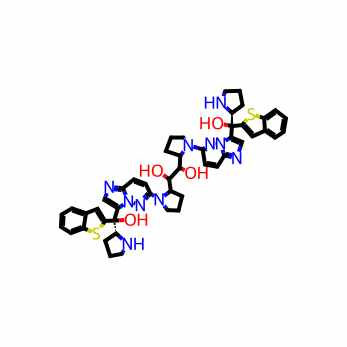 OC(C(O)C1CCCN1c1ccc2ncc(C(O)(c3cc4ccccc4s3)[C@H]3CCCN3)n2n1)C1CCCN1c1ccc2ncc(C(O)(c3cc4ccccc4s3)[C@@H]3CCCN3)n2n1